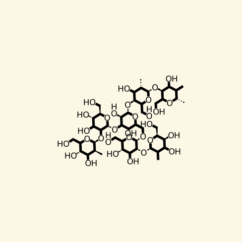 CC1C(O)[C@H](O)[C@H](CO)O[C@H]1O[C@@H]1C(O)[C@H](O)C(CO)O[C@@H]1OCC1O[C@@H](O[C@@H]2C(CO)O[C@@H](O[C@@H]3C(CO)O[C@@H](C)C(C)C3O)[C@@H](C)C2O)[C@H](O)C(O[C@H]2O[C@H](CO)[C@@H](O)C(O)C2O[C@@H]2OC(CO)[C@@H](O)C(O)[C@@H]2C)[C@@H]1O